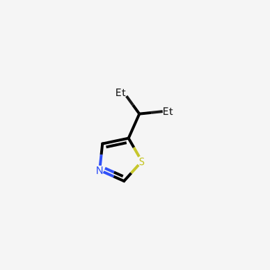 CCC(CC)c1cncs1